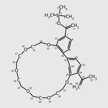 C=C(O[Si](C)(C)C)c1ccc2c(c1)OCCOCCOCCOCCOCCOc1cc-2ccc1C(=C)C